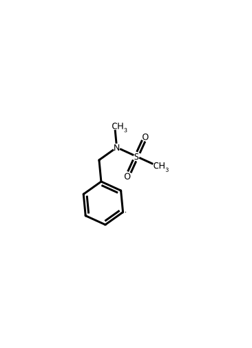 CN(Cc1c[c]ccc1)S(C)(=O)=O